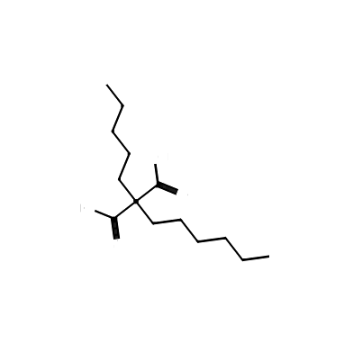 CCCCCCC(CCCCC)(C(=O)O)C(=O)O.F